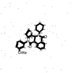 COc1cccc(NC(=O)C2c3ccccc3C(=O)N(C3CCCCC3)C2c2cccs2)c1